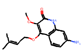 COc1c(OCC=C(C)C)c2ccc(N)cc2[nH]c1=O